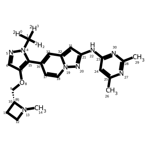 [2H]C([2H])([2H])n1ncc(OC[C@H]2CCN2C)c1-c1ccn2nc(Nc3cc(C)nc(C)n3)cc2c1